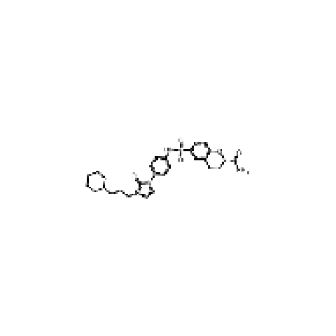 NC(=O)[C@@H]1CCc2cc(S(=O)(=O)Nc3ccc(-n4ccn(CCCC5CCCCC5)c4=O)cc3)ccc2O1